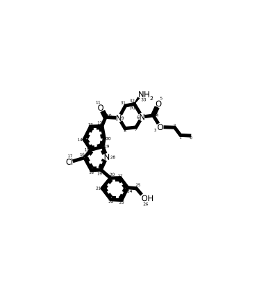 CCCOC(=O)N1CCN(C(=O)c2ccc3c(Cl)cc(-c4cccc(CO)c4)nc3c2)C[C@H]1N